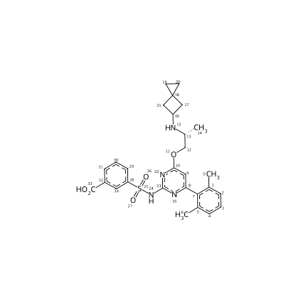 Cc1cccc(C)c1-c1cc(OC[C@@H](C)NC2CC3(CC3)C2)nc(NS(=O)(=O)c2cccc(C(=O)O)c2)n1